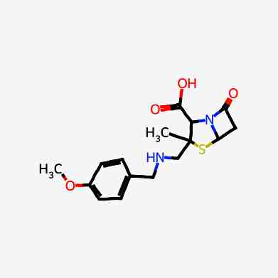 COc1ccc(CNCC2(C)SC3CC(=O)N3C2C(=O)O)cc1